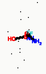 NCCCC(N)(C(=O)OCCCCCCO)C(F)F